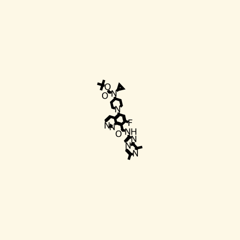 Cc1cn2cc(NC(=O)c3c(F)cc(N4CCC(N(C(=O)OC(C)(C)C)C5CC5)CC4)c4ccnnc34)nc2c(C)n1